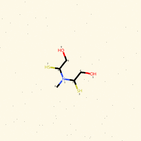 CN(C(S)CO)C(S)CO